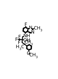 COc1cccc(C(C)(C)CC(O)(CNc2ccc(F)c3nc(C)ncc23)C(F)(F)F)c1